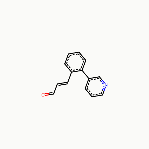 O=C/C=C/c1ccccc1-c1cccnc1